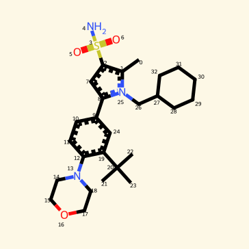 Cc1c(S(N)(=O)=O)cc(-c2ccc(N3CCOCC3)c(C(C)(C)C)c2)n1CC1CCCCC1